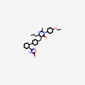 CCCc1nc(C)n(-c2ccc(OCC)cc2)c(=O)c1Cc1ccc(-c2ccccc2-c2noc(=O)[nH]2)cc1